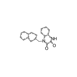 O=c1[nH]c2ccccc2n(Cc2ccc3ccccc3c2)c1=O